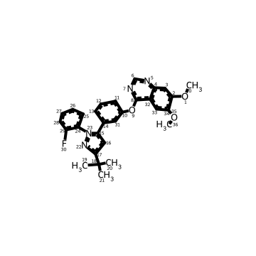 COc1cc2ncnc(Oc3cccc(-c4cc(C(C)(C)C)nn4-c4ccccc4F)c3)c2cc1OC